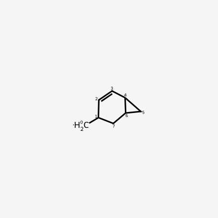 [CH2]C1C=CC2CC2C1